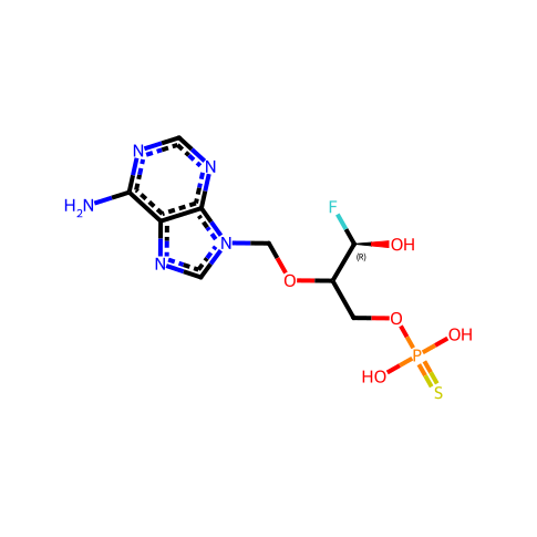 Nc1ncnc2c1ncn2COC(COP(O)(O)=S)[C@H](O)F